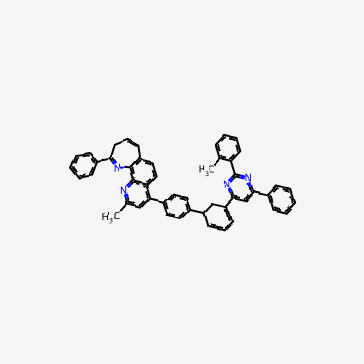 Cc1cc(-c2ccc(C3C=CC=C(c4cc(-c5ccccc5)nc(-c5ccccc5C)n4)C3)cc2)c2ccc3c(c2n1)N=C(c1ccccc1)CC=C3